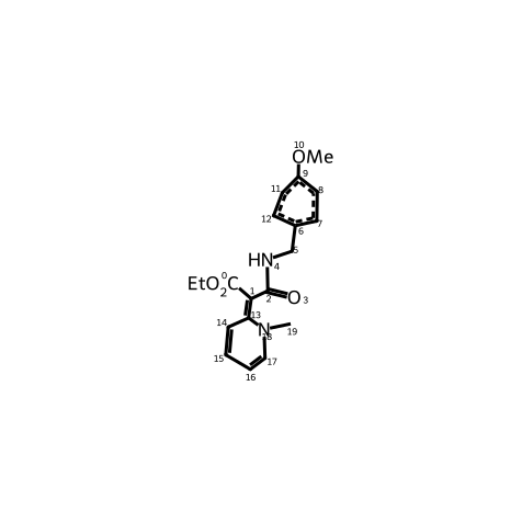 CCOC(=O)/C(C(=O)NCc1ccc(OC)cc1)=C1\C=CC=CN1C